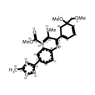 COCC1(OC)C=CC=C(C(=N/c2ccc(-c3noc(C)n3)cc2)/C(=N/C(=O)OC)SC)C1